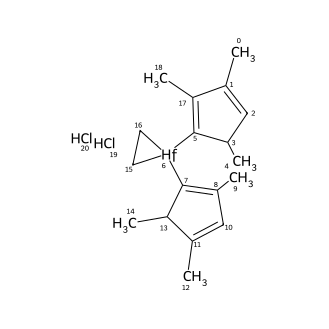 CC1=CC(C)[C]([Hf]2([C]3=C(C)C=C(C)C3C)[CH2][CH2]2)=C1C.Cl.Cl